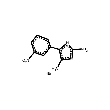 Br.Cc1sc(N)nc1-c1cccc([N+](=O)[O-])c1